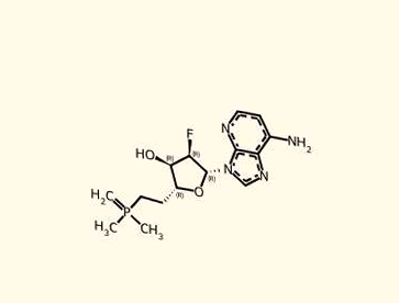 C=P(C)(C)CC[C@H]1O[C@@H](n2cnc3c(N)ccnc32)[C@H](F)[C@@H]1O